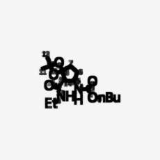 CCCCOC(=O)N[C@H]1CCC2(OC(C)(C)O2)[C@@H]1C(=O)NCC